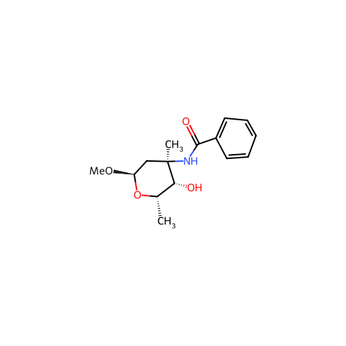 CO[C@H]1C[C@@](C)(NC(=O)c2ccccc2)[C@H](O)[C@H](C)O1